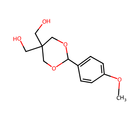 COc1ccc(C2OCC(CO)(CO)CO2)cc1